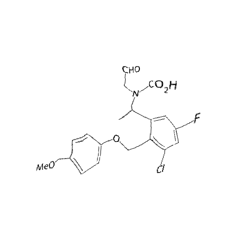 COc1ccc(OCc2c(Cl)cc(F)cc2C(C)N(CC=O)C(=O)O)cc1